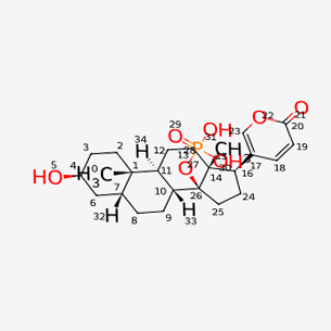 C[C@]12CC[C@H](O)C[C@H]1CC[C@@H]1[C@@H]2CC[C@]2(C)[C@@H](c3ccc(=O)oc3)CC[C@]12OP(=O)(O)O